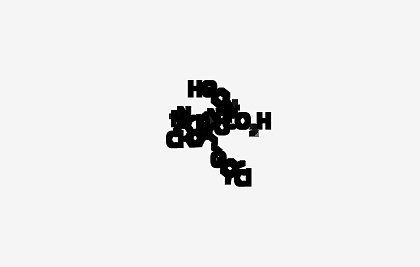 Cc1cc(OCCCc2c3n(c4c(-c5c(C)nn(C)c5C)c(Cl)ccc24)C(C)CN(c2c(C(=O)O)n(C)c4ccc(O)cc24)C3=O)cc(C)c1Cl